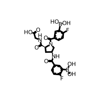 O=C(O)CNC(=O)[C@@H]1C[C@H](NC(=O)c2ccc(F)c(B(O)O)c2)CN1C(=O)c1ccc(F)c(B(O)O)c1